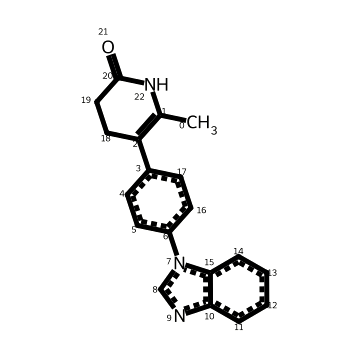 CC1=C(c2ccc(-n3cnc4ccccc43)cc2)CCC(=O)N1